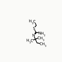 CCS/C(N)=N/C(C)(C)CC